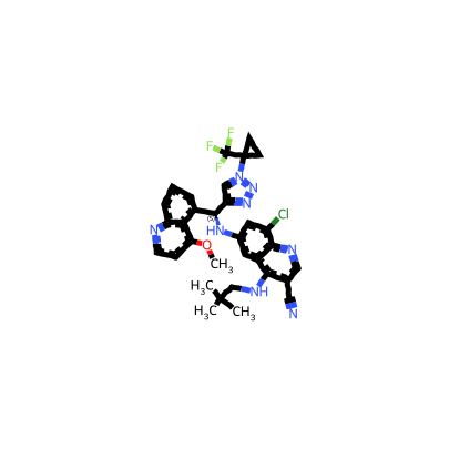 COc1ccnc2cccc([C@H](Nc3cc(Cl)c4ncc(C#N)c(NCC(C)(C)C)c4c3)c3cn(C4(C(F)(F)F)CC4)nn3)c12